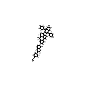 CC1(C)c2cc(-c3ccc4cc(-c5ccc(C#N)cc5)ccc4c3)ccc2-c2ccc3c4c(ccc1c24)-c1c-3c(-c2ccccc2)c2ccccc2c1-c1ccccc1